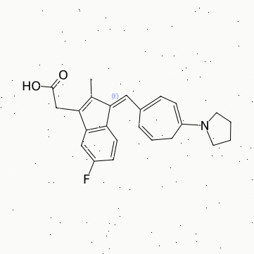 CC1=C(CC(=O)O)c2cc(F)ccc2/C1=C\C1=CC=C(N2CCCC2)CC=C1